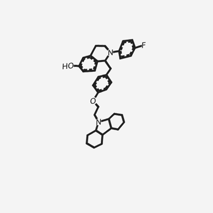 Oc1ccc2c(c1)CCN(c1ccc(F)cc1)C2Cc1ccc(OCCN2C3CCCCC3C3CCCCC32)cc1